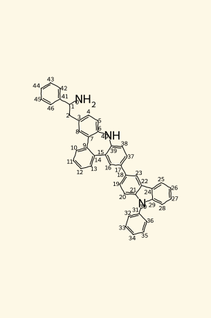 NC(Cc1ccc2c(c1)-c1ccccc1-c1cc(-c3ccc4c(c3)c3ccccc3n4-c3ccccc3)ccc1N2)c1ccccc1